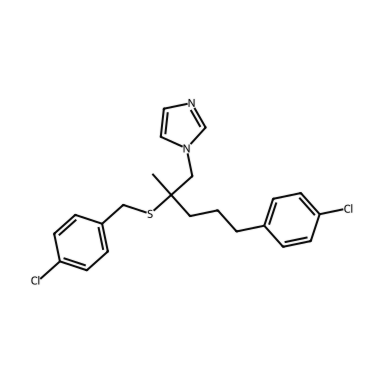 CC(CCCc1ccc(Cl)cc1)(Cn1ccnc1)SCc1ccc(Cl)cc1